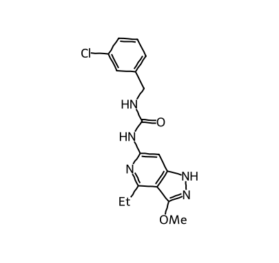 CCc1nc(NC(=O)NCc2cccc(Cl)c2)cc2[nH]nc(OC)c12